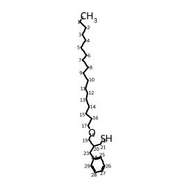 CCCCCCCCCCCCCCCCCCOCC(CS)Cc1ccccc1